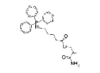 CC(COC(=O)CCCCC[PH](c1ccccc1)(c1ccccc1)c1ccccc1)C(N)=O